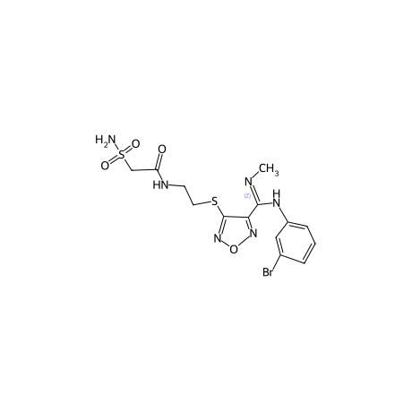 C/N=C(\Nc1cccc(Br)c1)c1nonc1SCCNC(=O)CS(N)(=O)=O